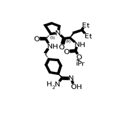 CCC(CC)C[C@@H](NC(=O)OC(C)C)C(=O)N1CCC[C@H]1C(=O)NC[C@H]1CC[C@H](C(N)=NO)CC1